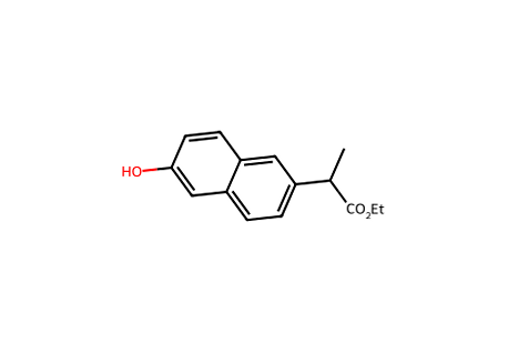 CCOC(=O)C(C)c1ccc2cc(O)ccc2c1